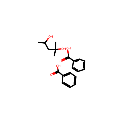 CC(O)CC(C)(C)O.O=C(O)c1ccccc1.O=C(O)c1ccccc1